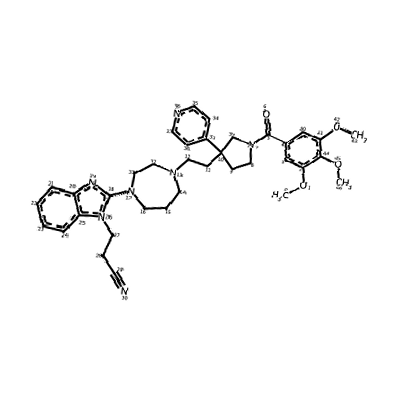 COc1cc(C(=O)N2CCC(CCN3CCCN(c4nc5ccccc5n4CCC#N)CC3)(c3ccncc3)C2)cc(OC)c1OC